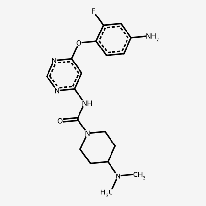 CN(C)C1CCN(C(=O)Nc2cc(Oc3ccc(N)cc3F)ncn2)CC1